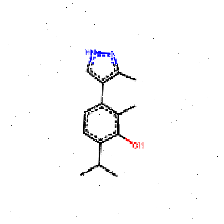 Cc1n[nH]cc1-c1ccc(C(C)C)c(O)c1C